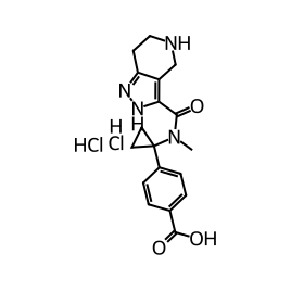 CN(C(=O)c1[nH]nc2c1CNCC2)C1(c2ccc(C(=O)O)cc2)CC1.Cl.Cl